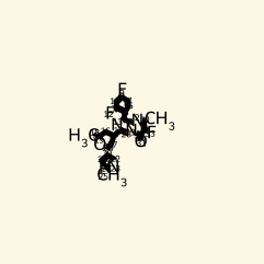 Cc1nc2c(-c3ccc(F)cc3F)nc(C3C[C@H](C)O[C@@H](c4cnn(C)c4)C3)cn2c(=O)c1F